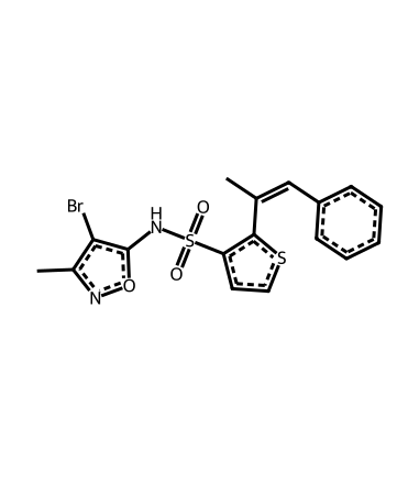 CC(=Cc1ccccc1)c1sccc1S(=O)(=O)Nc1onc(C)c1Br